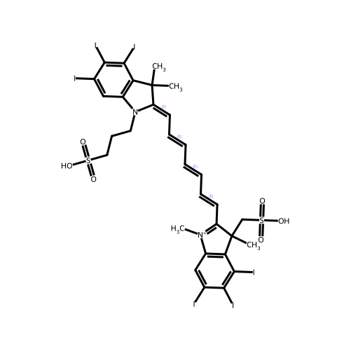 C[N+]1=C(/C=C/C=C/C=C/C=C2\N(CCCS(=O)(=O)O)c3cc(I)c(I)c(I)c3C2(C)C)C(C)(CS(=O)(=O)O)c2c1cc(I)c(I)c2I